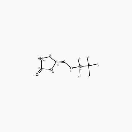 CC(C)(C)[Si](C)(C)OC[C@@H]1CNC(=O)O1